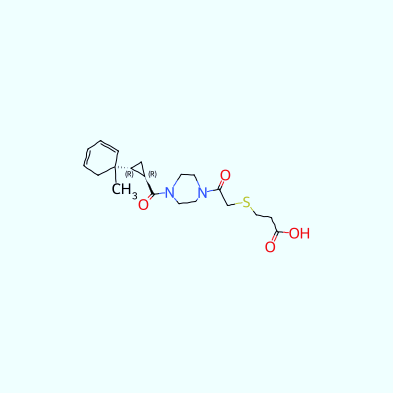 CC1([C@@H]2C[C@H]2C(=O)N2CCN(C(=O)CSCCC(=O)O)CC2)C=CC=CC1